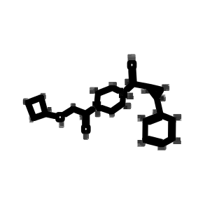 O=C(COC1CCC1)N1CCN(C(=O)C2CC2c2ccccc2)CC1